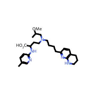 COC(C)CN(CCCCc1ccc2c(n1)NCCC2)CCC(Nc1ccc(C)cn1)C(=O)O